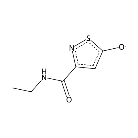 CCNC(=O)c1cc([O])sn1